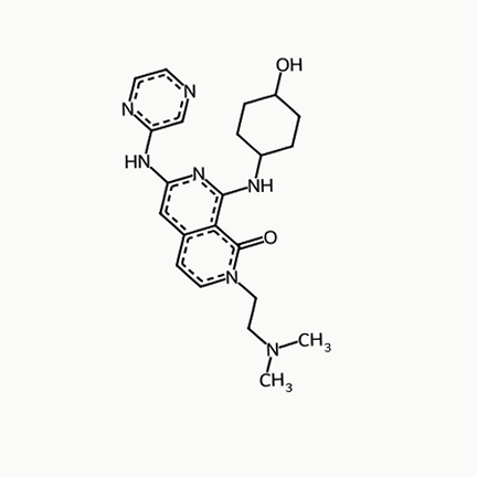 CN(C)CCn1ccc2cc(Nc3cnccn3)nc(NC3CCC(O)CC3)c2c1=O